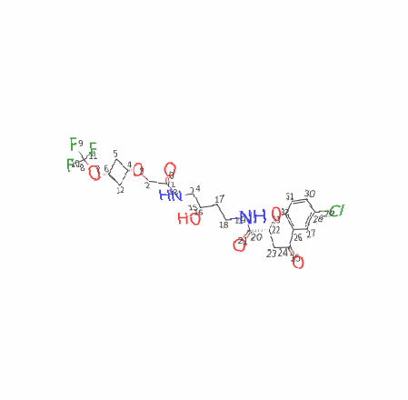 O=C(CO[C@H]1C[C@@H](OC(F)(F)F)C1)NC[C@@H](O)CCNC(=O)[C@H]1CC(=O)c2cc(Cl)ccc2O1